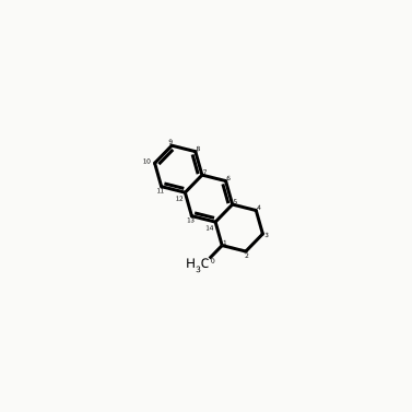 CC1CCCc2cc3ccccc3cc21